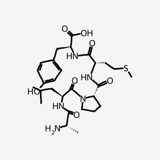 CSCC[C@H](NC(=O)[C@@H]1CCCN1C(=O)[C@H](CC(C)C)NC(=O)[C@H](C)N)C(=O)N[C@@H](Cc1ccc(O)cc1)C(=O)O